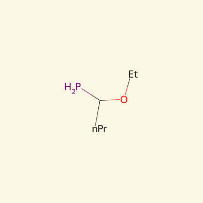 CCCC(P)OCC